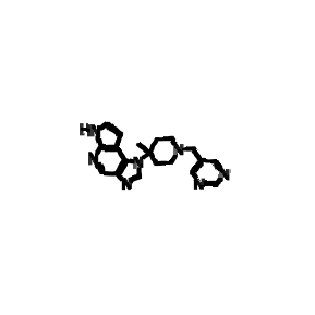 CC1(n2cnc3cnc4[nH]ccc4c32)CCN(Cc2cncnc2)CC1